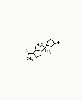 CC(C)C1CCC(C(C)(C)C2CCC(F)C2)C1F